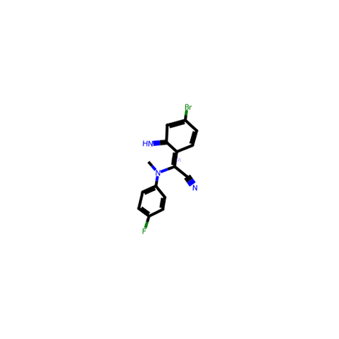 CN(/C(C#N)=C1/C=CC(Br)=CC1=N)c1ccc(F)cc1